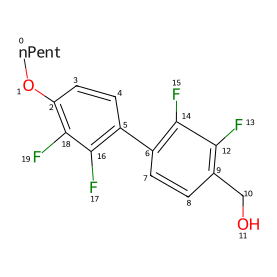 CCCCCOc1ccc(-c2ccc(CO)c(F)c2F)c(F)c1F